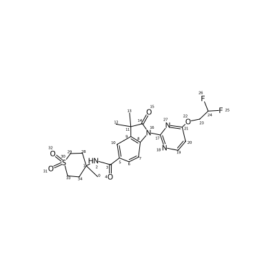 CC1(NC(=O)c2ccc3c(c2)C(C)(C)C(=O)N3c2nccc(OCC(F)F)n2)CCS(=O)(=O)CC1